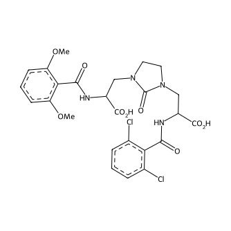 COc1cccc(OC)c1C(=O)NC(CN1CCN(CC(NC(=O)c2c(Cl)cccc2Cl)C(=O)O)C1=O)C(=O)O